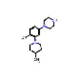 CC1CCN(c2cc(N3CCNCC3)ccc2N=O)CC1